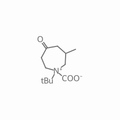 CC1CC(=O)CC[N+](C(=O)[O-])(C(C)(C)C)C1